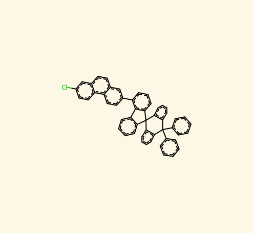 Clc1ccc2c(ccc3cc(-c4cccc5c4-c4ccccc4C54c5ccccc5C(c5ccccc5)(c5ccccc5)c5ccccc54)ccc32)c1